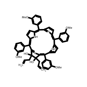 C=CCC1(O)c2nc(c(-c3cccc(OC)c3)c3ccc([nH]3)c(-c3cccc(OC)c3)c3nc(c(-c4cccc(OC)c4)c4ccc([nH]4)c2-c2cccc(OC)c2)C=C3)C1(O)CC=C